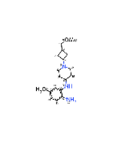 COC[C@H]1C[C@@H](N2CCC(Nc3cc(C)ccc3N)CC2)C1